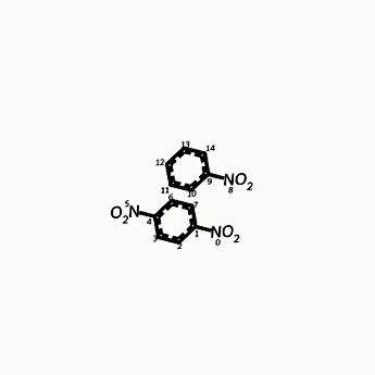 O=[N+]([O-])c1ccc([N+](=O)[O-])cc1.O=[N+]([O-])c1ccccc1